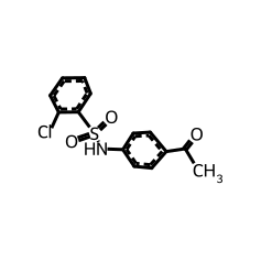 CC(=O)c1ccc(NS(=O)(=O)c2ccccc2Cl)cc1